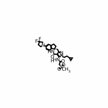 CS(=O)(=O)CC(=O)Nc1c2c(nn1CCC1CC1)C[C@@]1(CCc3cc(N4CCC(F)(F)C4)ccc31)NC2O